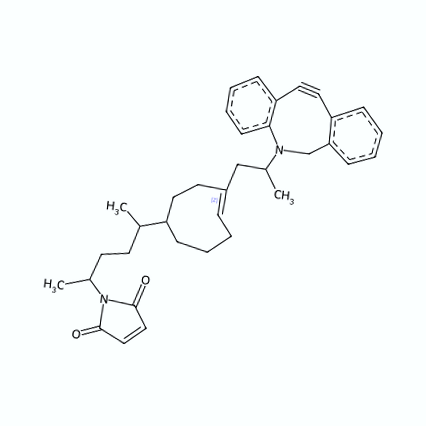 CC(CCC(C)N1C(=O)C=CC1=O)C1CCC/C=C(\CC(C)N2Cc3ccccc3C#Cc3ccccc32)CC1